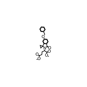 COC(=O)CCC(C(=O)OC)N1C(=O)c2ccc(OCc3ccccc3)cc2C12CC2